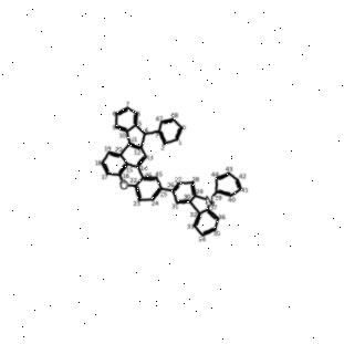 c1ccc(C2c3ccccc3-c3c2cc2c4c(cccc34)Oc3ccc(-c4ccc5c(c4)c4ccccc4n5-c4ccccc4)cc3-2)cc1